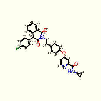 O=C(NC1CC1)c1cc(Oc2ccc(CCN3C(=O)c4ccccc4C(c4ccc(F)cc4)C3=O)cc2)ccn1